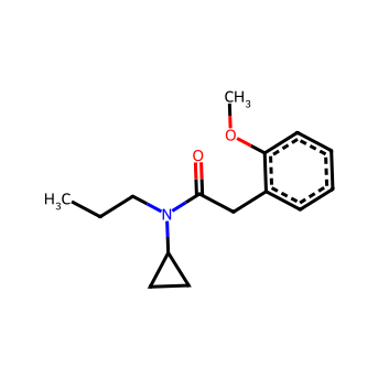 CCCN(C(=O)Cc1ccccc1OC)C1CC1